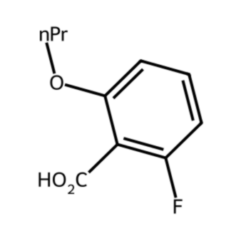 CCCOc1cccc(F)c1C(=O)O